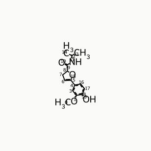 COc1cc(C2=CCC(C(=O)NC(C)C)O2)ccc1O